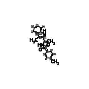 Cc1ccc(S(=O)(=O)NC(C)c2[nH]c3ccccc3c2C)cc1